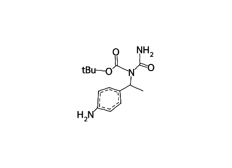 CC(c1ccc(N)cc1)N(C(N)=O)C(=O)OC(C)(C)C